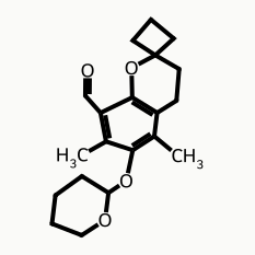 Cc1c(C=O)c2c(c(C)c1OC1CCCCO1)CCC1(CCC1)O2